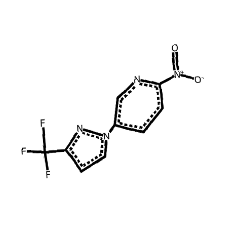 O=[N+]([O-])c1ccc(-n2ccc(C(F)(F)F)n2)cn1